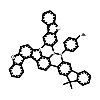 CC(C)(C)c1ccc(N2B3c4cc5oc6ccccc6c5cc4-n4c5ccc6oc7ccccc7c6c5c5ccc(c3c54)-c3cc4c(cc32)-c2ccccc2C4(C)C)cc1